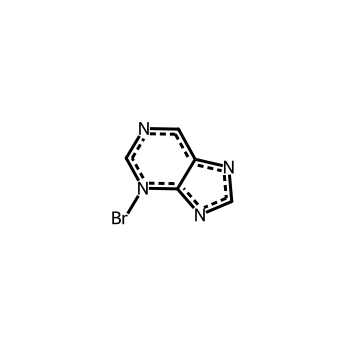 Brn1cncc2ncnc1-2